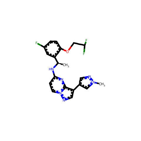 C[C@@H](Nc1ccn2ncc(-c3cnn(C)c3)c2n1)c1cc(F)ccc1OCC(F)F